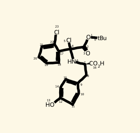 CC(C)(C)OC(=O)C(Cl)(N[C@@H](Cc1ccc(O)cc1)C(=O)O)c1ccccc1Cl